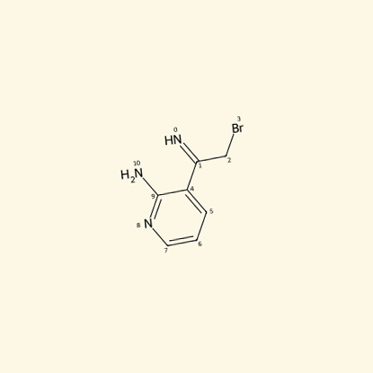 N=C(CBr)c1cccnc1N